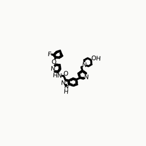 O=C(Nc1ccc(Oc2ccccc2F)nc1)c1n[nH]c2ccc(-c3cncc(CN4CCC(O)CC4)c3)cc12